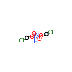 O=C([N]NC(=O)OCc1ccc(Cl)cc1)OCc1ccc(Cl)cc1